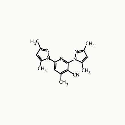 Cc1cc(C)n(-c2cc(C)c(C#N)c(-n3nc(C)cc3C)n2)n1